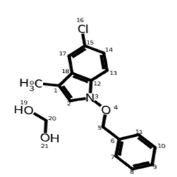 Cc1cn(OCc2ccccc2)c2ccc(Cl)cc12.OCO